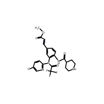 COC(=O)/C=C/c1ccc(NC(=O)C2CCNCC2)c(N(C(=O)C(F)(F)F)c2ccc(Cl)cn2)c1